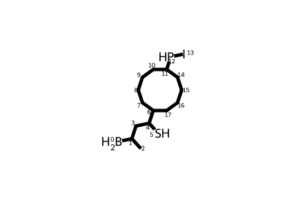 BC(C)CC(S)C1CCCCC(PI)CCCC1